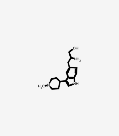 CN1CCC(c2c[nH]c3ccc(CC(N)CO)cc23)CC1